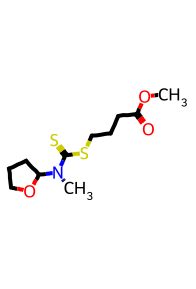 COC(=O)CCCSC(=S)N(C)C1CCCO1